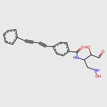 O=CC(O)C(CNO)NC(=O)c1ccc(C#CC#Cc2ccccc2)cc1